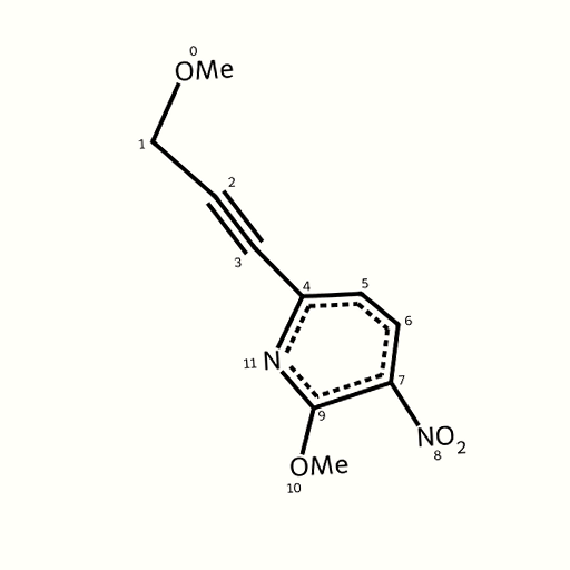 COCC#Cc1ccc([N+](=O)[O-])c(OC)n1